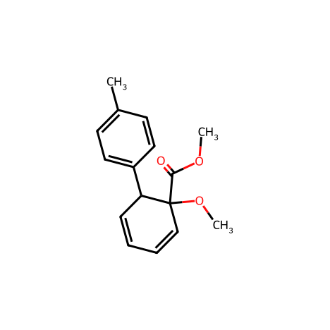 COC(=O)C1(OC)C=CC=CC1c1ccc(C)cc1